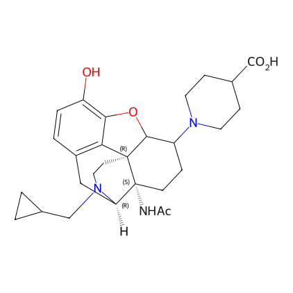 CC(=O)N[C@@]12CCC(N3CCC(C(=O)O)CC3)C3Oc4c(O)ccc5c4[C@@]31CCN(CC1CC1)[C@@H]2C5